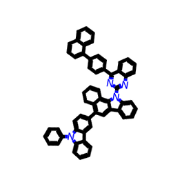 C1=Cc2c(c(-c3ccc4c(c3)c3ccccc3n4-c3ccccc3)cc3c4ccccc4n(-c4nc(-c5ccc(-c6cccc7ccccc67)cc5)c5ccccc5n4)c23)CC1